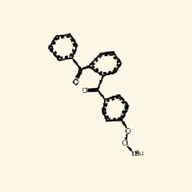 CC(C)(C)OOc1ccc(C(=O)c2ccccc2C(=O)c2ccccc2)cc1